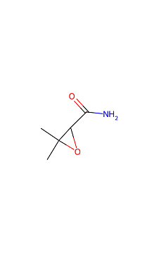 CC1(C)OC1C(N)=O